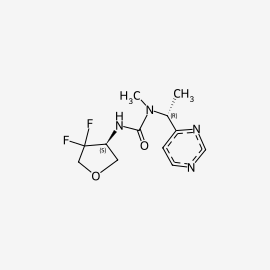 C[C@H](c1ccncn1)N(C)C(=O)N[C@H]1COCC1(F)F